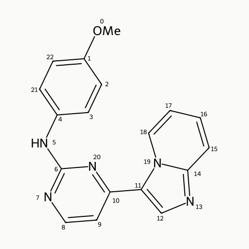 COc1ccc(Nc2nccc(-c3cnc4ccccn34)n2)cc1